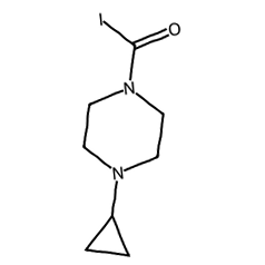 O=C(I)N1CCN(C2CC2)CC1